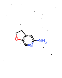 Nc1cc2c(cn1)OCC2